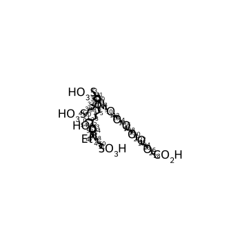 C/C=C(/C=C/C=C1/N(CCOCCOCCOCCOCCOCCOCCC(=O)O)c2ccc(S(=O)(=O)O)cc2C1(C)CCCS(=O)(=O)O)c1ccc(N(CC)CCCS(=O)(=O)O)cc1O